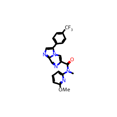 COc1cccc(N(C)C(=O)c2cn3c(-c4ccc(C(F)(F)F)cc4)cnc3cn2)n1